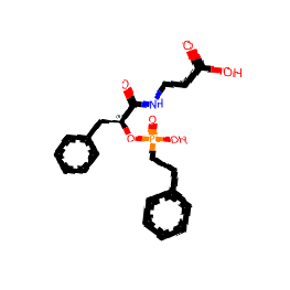 O=C(O)CCNC(=O)[C@H](Cc1ccccc1)OP(=O)(O)CCc1ccccc1